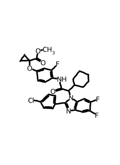 COC(=O)C1(Oc2ccc(NC(=O)C(C3CCCCC3)n3c(-c4ccc(Cl)cc4)nc4cc(F)c(F)cc43)c(F)c2)CC1